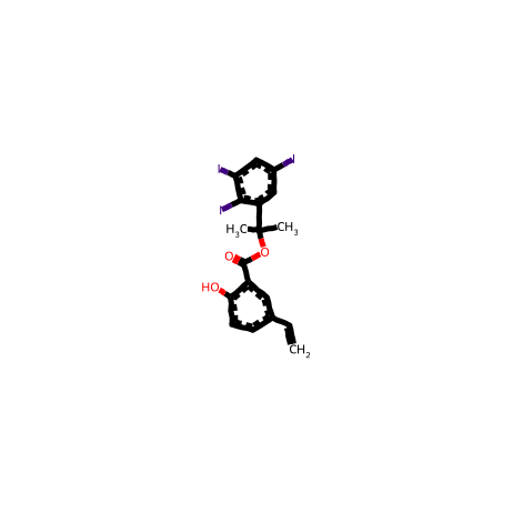 C=Cc1ccc(O)c(C(=O)OC(C)(C)c2cc(I)cc(I)c2I)c1